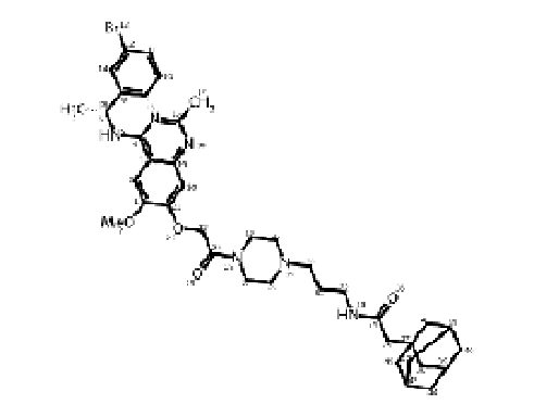 COc1cc2c(N[C@H](C)c3cccc(Br)c3)nc(C)nc2cc1OCC(=O)N1CCN(CCCNC(=O)CC23CC4CC(CC(C4)C2)C3)CC1